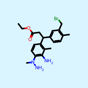 CCOC(=O)CC(c1ccc(C)c(CBr)c1)c1ccc(N(C)N)c(N)c1C